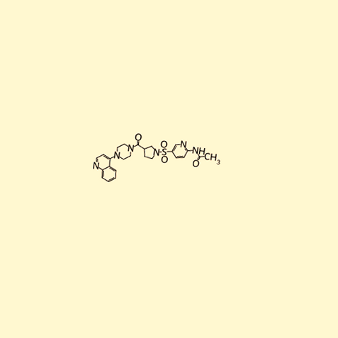 CC(=O)Nc1ccc(S(=O)(=O)N2CCC(C(=O)N3CCN(c4ccnc5ccccc45)CC3)C2)cn1